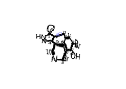 O=C1NN=C(c2cccnc2)/C1=C\c1cc(Br)c(O)c(Br)c1